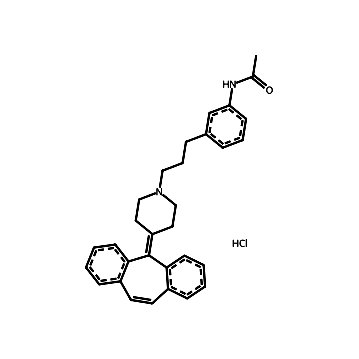 CC(=O)Nc1cccc(CCCN2CCC(=C3c4ccccc4C=Cc4ccccc43)CC2)c1.Cl